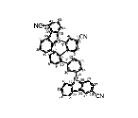 N#Cc1ccc(-c2ccccc2-c2cccc(-n3c4ccccc4c4cc(C#N)ccc43)c2)c(-n2c3ccccc3c3c(C#N)cccc32)c1